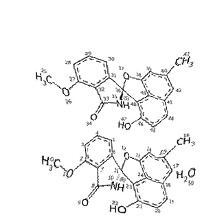 COc1cccc2c1C(=O)N[C@@]21Oc2cc(C)cc3ccc(O)c1c23.COc1cccc2c1C(=O)N[C@]21Oc2cc(C)cc3ccc(O)c1c23.O